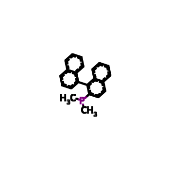 CP(C)c1ccc2ccccc2c1-c1cccc2ccccc12